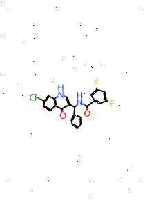 O=C(NC(c1ccccc1)c1c[nH]c2cc(Cl)ccc2c1=O)c1cc(F)cc(F)c1